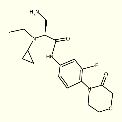 CCN(C1CC1)[C@@H](CN)C(=O)Nc1ccc(N2CCOCC2=O)c(F)c1